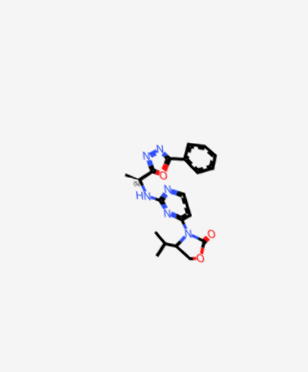 CC(C)C1COC(=O)N1c1ccnc(N[C@@H](C)c2nnc(-c3ccccc3)o2)n1